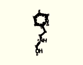 OCNCCc1ccccn1